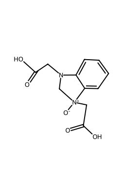 O=C(O)CN1C[N+]([O-])(CC(=O)O)c2ccccc21